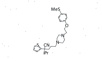 CSc1ccc(OCCN2CCN(CCCC(C#N)(c3cccs3)C(C)C)CC2)cc1